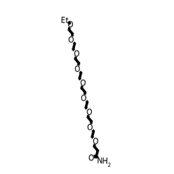 CCOCCOCCOCCOCCOCCOCCOCCOCCOCCC(N)=O